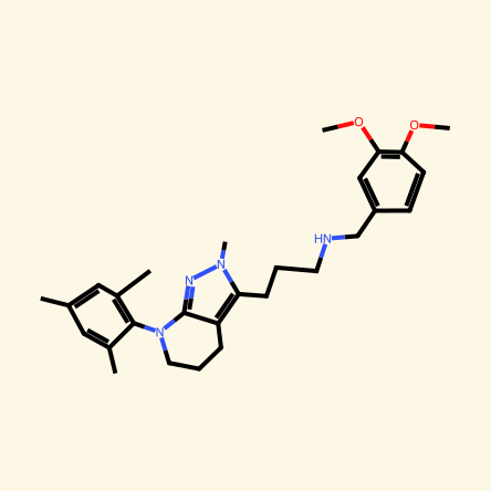 COc1ccc(CNCCCc2c3c(nn2C)N(c2c(C)cc(C)cc2C)CCC3)cc1OC